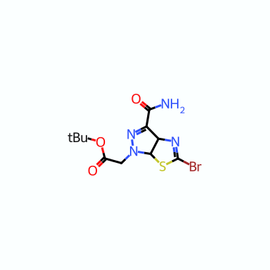 CC(C)(C)OC(=O)CN1N=C(C(N)=O)C2N=C(Br)SC21